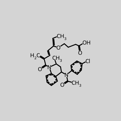 C=C(C=CC(=CC)OCCCC(=O)O)C(=O)N1c2ccccc2C(N(C(C)=O)c2ccc(Cl)cc2)CC1C